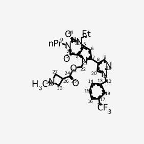 CCCn1c(=O)c2c(cc(-c3cnn(Cc4cccc(C(F)(F)F)c4)c3)n2COC(=O)C2CN(C)C2)n(CC)c1=O